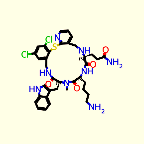 CN1C(=O)[C@H](CCCCN)NC(=O)[C@H](CCC(N)=O)NCc2cccnc2Sc2c(Cl)cc(Cl)cc2CNC(=O)[C@@H]1Cc1c[nH]c2ccccc12